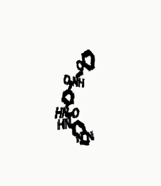 O=C(Nc1ccc(C(=O)NCCOc2ccccc2)cc1)Nc1ccc2nccn2c1